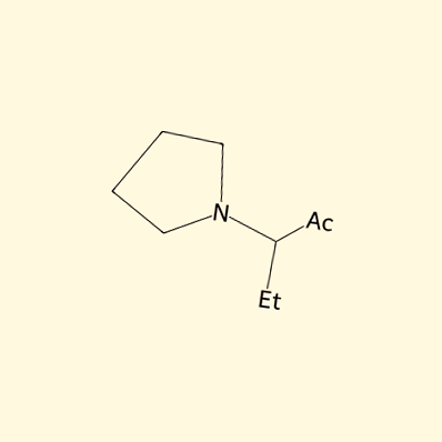 CCC(C(C)=O)N1CCCC1